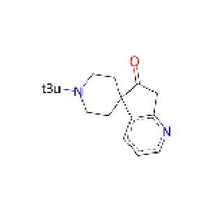 CC(C)(C)N1CCC2(CC1)C(=O)Cc1ncccc12